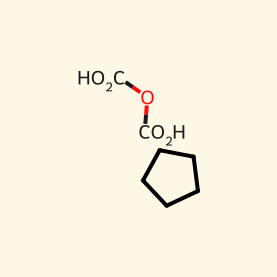 C1CCCC1.O=C(O)OC(=O)O